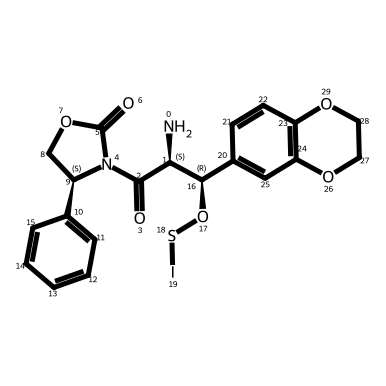 N[C@H](C(=O)N1C(=O)OC[C@@H]1c1ccccc1)[C@H](OSI)c1ccc2c(c1)OCCO2